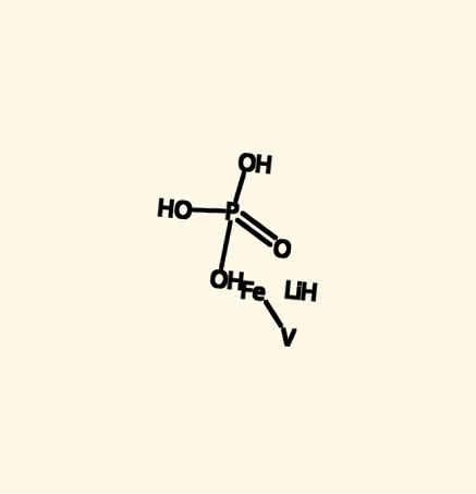 O=P(O)(O)O.[LiH].[V][Fe]